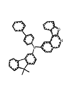 CC1(C)c2ccccc2-c2cc(N(c3ccc(-c4ccccc4)cc3)c3ccc4cnc5oc6ccccc6c5c4c3)ccc21